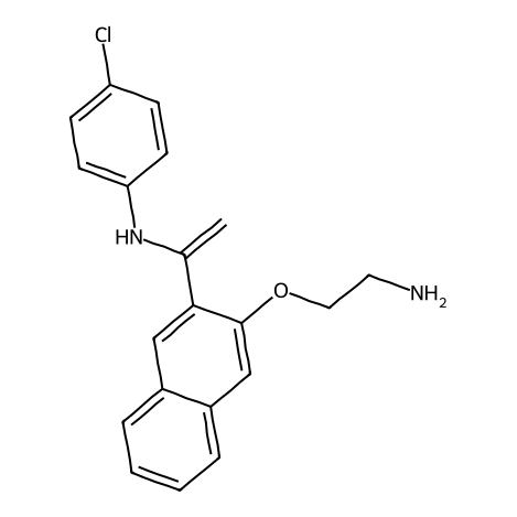 C=C(Nc1ccc(Cl)cc1)c1cc2ccccc2cc1OCCN